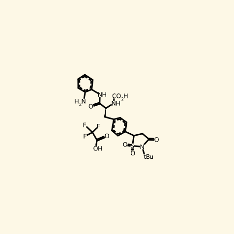 CC(C)(C)N1C(=O)CC(c2ccc(C[C@H](NC(=O)O)C(=O)Nc3ccccc3N)cc2)S1(=O)=O.O=C(O)C(F)(F)F